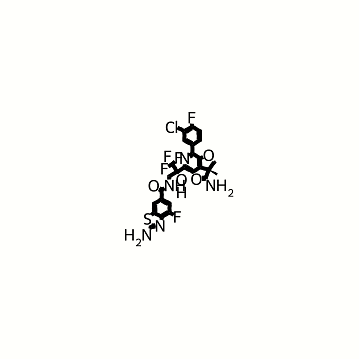 C[C@]1(C(N)=O)COc2c1cc([C@@](O)(CNC(=O)c1cc(F)c3nc(N)sc3c1)C(F)(F)F)nc2-c1ccc(F)c(Cl)c1